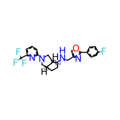 Fc1ccc(-c2nc(CN[C@H]3CC[C@@H]4CN(c5cccc(C(F)(F)F)n5)C[C@@H]43)co2)cc1